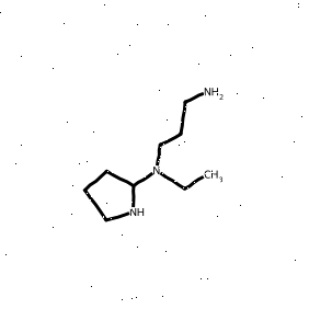 CCN(CCCN)C1CCCN1